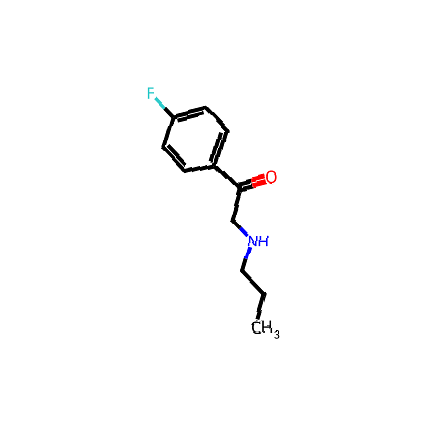 CCCNCC(=O)c1ccc(F)cc1